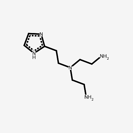 NCCN(CCN)CCc1ncc[nH]1